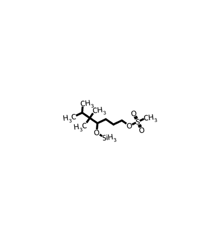 CC(C)C(C)(C)C(CCCOS(C)(=O)=O)O[SiH3]